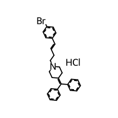 Brc1ccc(C=CCCN2CCC(=C(c3ccccc3)c3ccccc3)CC2)cc1.Cl